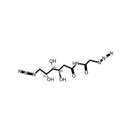 [N-]=[N+]=NCC(=O)NC(=O)C[C@@H](O)[C@@H](O)[C@H](O)CN=[N+]=[N-]